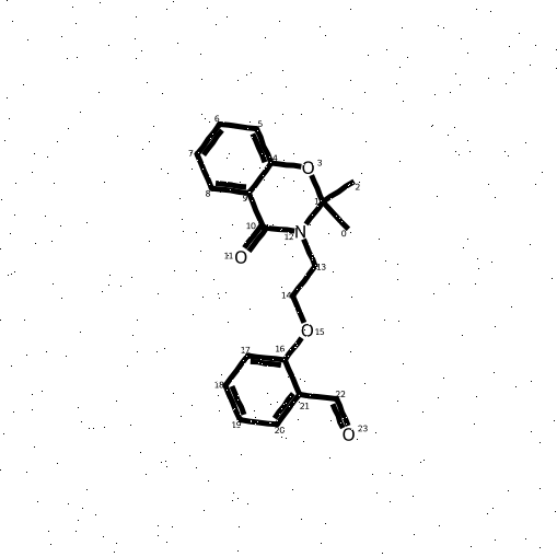 CC1(C)Oc2ccccc2C(=O)N1CCOc1ccccc1C=O